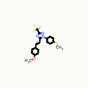 COc1ccc(/C=C/c2nc(C(F)(F)F)nn2-c2ccc(SC)cc2)cc1